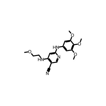 COCCNc1cc(Nc2cc(OC)c(OC)c(OC)c2)ncc1C#N